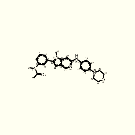 CC(=O)N(C)c1cccc(-c2cc3cnc(Nc4ccc(N5CCOCC5)cc4)cc3n2C)c1